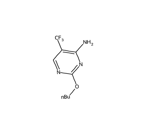 CCCCOc1ncc(C(F)(F)F)c(N)n1